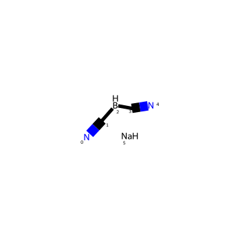 N#CBC#N.[NaH]